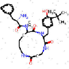 CN(C(=O)[C@@H](N)Cc1ccccc1)C1CCCCNC(=O)CCNC(=O)C(Cc2ccc(O)c(C(C)(C)C)c2)NC1=O